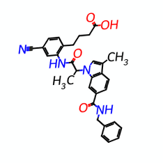 Cc1cn(C(C)C(=O)Nc2cc(C#N)ccc2CCCC(=O)O)c2cc(C(=O)NCc3ccccc3)ccc12